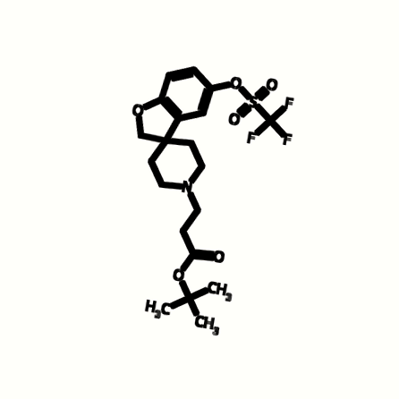 CC(C)(C)OC(=O)CCN1CCC2(CC1)COc1ccc(OS(=O)(=O)C(F)(F)F)cc12